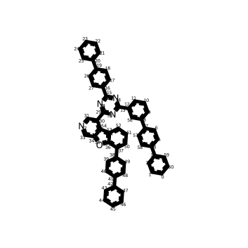 c1ccc(-c2ccc(-c3cccc(-c4nc(-c5ccc(-c6ccccc6)cc5)nc(-c5cncc6oc7c(-c8ccc(-c9ccccc9)cc8)cccc7c56)n4)c3)cc2)cc1